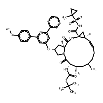 CC(C)Oc1ccc(-c2cc(O[C@@H]3C[C@H]4C(=O)N[C@]5(C(=O)NS(=O)(=O)C6(C)CC6)C[C@H]5/C=C\CC[C@@H](C)C[C@@H](C)[C@H](NC(=O)OC(C)(C)C(F)(F)F)C(=O)N4C3)cc(-c3cnccn3)n2)cc1